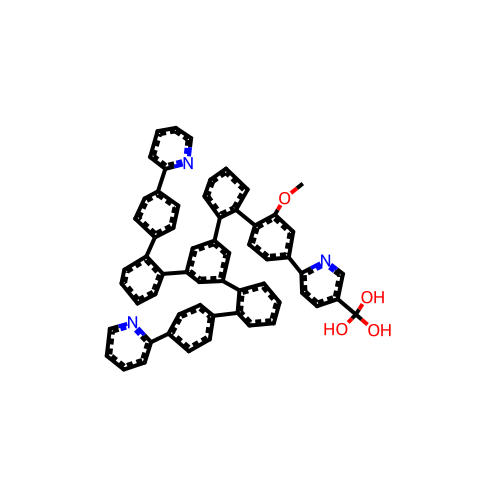 COc1cc(-c2ccc(C(O)(O)O)cn2)ccc1-c1ccccc1-c1cc(-c2ccccc2-c2ccc(-c3ccccn3)cc2)cc(-c2ccccc2-c2ccc(-c3ccccn3)cc2)c1